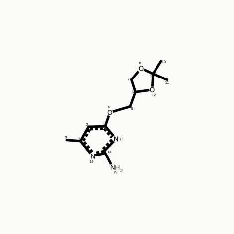 Cc1cc(OCC2COC(C)(C)O2)nc(N)n1